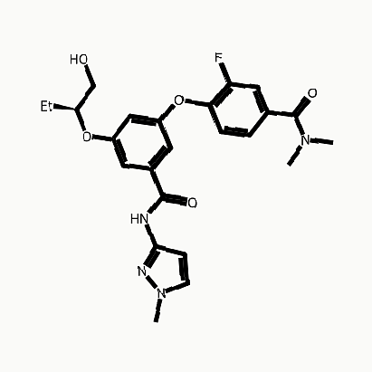 CC[C@@H](CO)Oc1cc(Oc2ccc(C(=O)N(C)C)cc2F)cc(C(=O)Nc2ccn(C)n2)c1